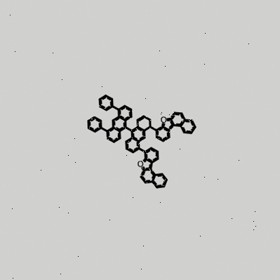 C1=Cc2c(cc3c(-c4cccc5c4oc4ccc6ccccc6c45)cccc3c2-c2c3cccc(-c4ccccc4)c3cc3c(-c4ccccc4)cccc23)C(c2cccc3c2oc2ccc4ccccc4c23)C1